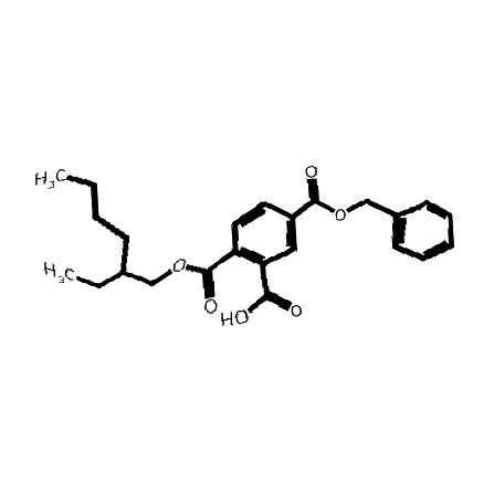 CCCCC(CC)COC(=O)c1ccc(C(=O)OCc2ccccc2)cc1C(=O)O